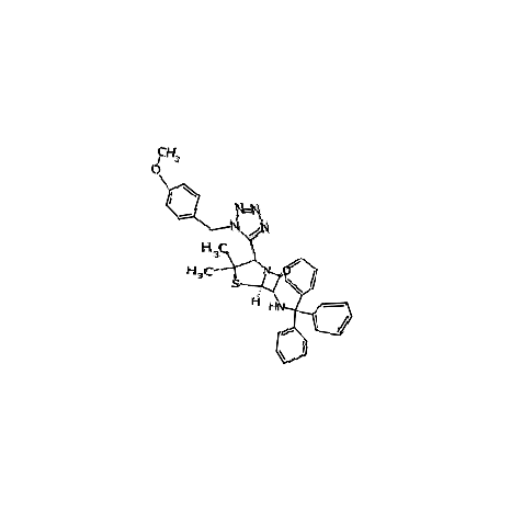 COc1ccc(Cn2nnnc2C2N3C(=O)C(NC(c4ccccc4)(c4ccccc4)c4ccccc4)[C@H]3SC2(C)C)cc1